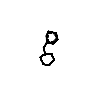 [CH]1CCN(Cc2ccccc2)CC1